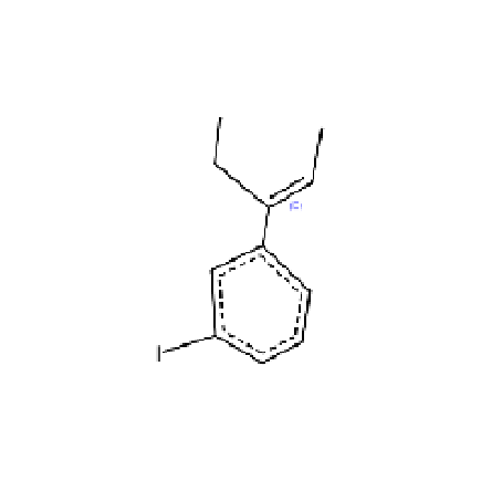 C/C=C(\CC)c1cccc(I)c1